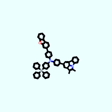 CC1=C(C)N2c3ccccc3C3=CC(c4ccc(N(c5ccc(-c6ccc7c(c6)oc6ccccc67)cc5)c5ccc([Si](c6ccccc6)(c6ccccc6)c6ccccc6)cc5)cc4)=CC1C32